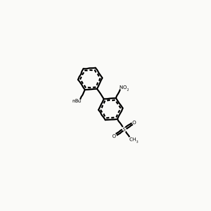 CCCCc1ccccc1-c1ccc(S(C)(=O)=O)cc1[N+](=O)[O-]